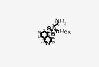 CCCCCCN(CCN)S(=O)(=O)c1cccc2cnccc12